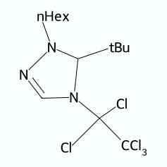 CCCCCCN1N=CN(C(Cl)(Cl)C(Cl)(Cl)Cl)C1C(C)(C)C